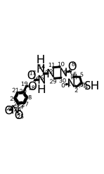 CN1C[C@@H](S)C[C@H]1C(=O)N1CCN(C(=N)NC(=O)OCc2ccc([N+](=O)[O-])cc2)CC1